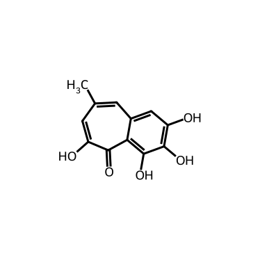 Cc1cc(O)c(=O)c2c(O)c(O)c(O)cc2c1